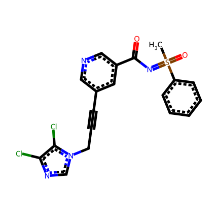 CS(=O)(=NC(=O)c1cncc(C#CCn2cnc(Cl)c2Cl)c1)c1ccccc1